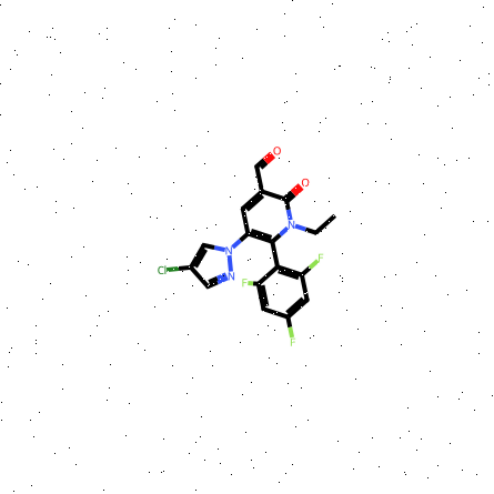 CCn1c(-c2c(F)cc(F)cc2F)c(-n2cc(Cl)cn2)cc(C=O)c1=O